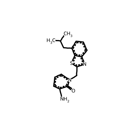 CC(C)Cc1cccc2nc(Cn3cccc(N)c3=O)sc12